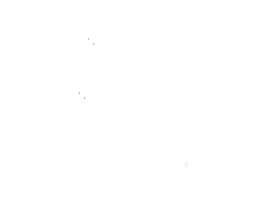 CC(C)C#Cc1cncn1C